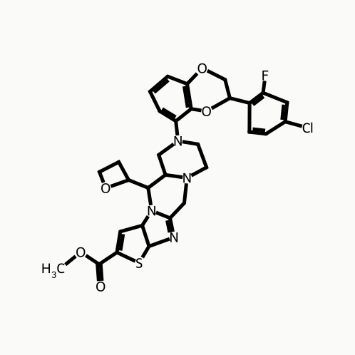 COC(=O)C1=CC2C(N=C3CN4CCN(c5cccc6c5OC(c5ccc(Cl)cc5F)CO6)CC4C(C4CCO4)N32)S1